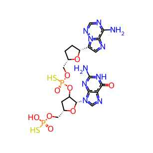 Nc1nc2c(ncn2[C@@H]2O[C@H](COP(=O)(O)S)CC2OP(=O)(S)OC[C@@H]2CC[C@H](c3cnc4c(N)ncnn34)O2)c(=O)[nH]1